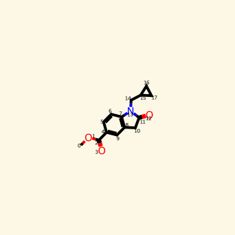 COC(=O)c1ccc2c(c1)CC(=O)N2CC1CC1